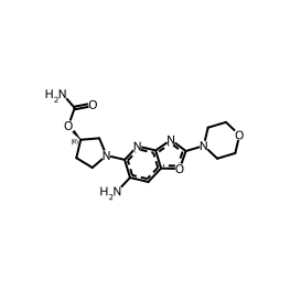 NC(=O)O[C@@H]1CCN(c2nc3nc(N4CCOCC4)oc3cc2N)C1